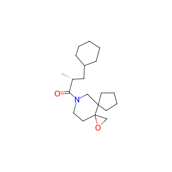 C[C@H](CC1CCCCC1)C(=O)N1CCC2(CO2)C2(CCCC2)C1